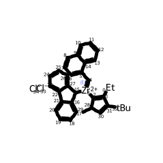 CCC1=[C](/[Zr+2](=[CH]/c2cccc3ccccc23)[CH]2c3ccccc3-c3ccccc32)C(C)C=C1C(C)(C)C.[Cl-].[Cl-]